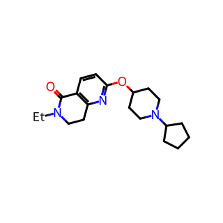 CCN1CCc2nc(OC3CCN(C4CCCC4)CC3)ccc2C1=O